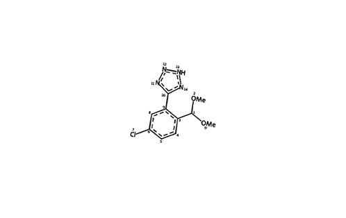 COC(OC)c1ccc(Cl)cc1-c1nn[nH]n1